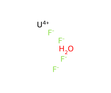 O.[F-].[F-].[F-].[F-].[U+4]